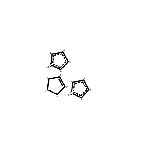 C1=CCCC1.c1ccsc1.c1ccsc1